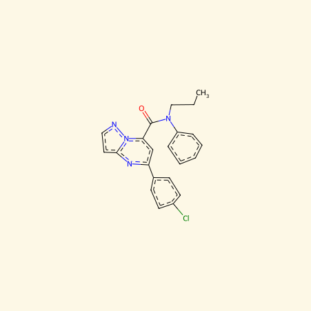 CCCN(C(=O)c1cc(-c2ccc(Cl)cc2)nc2ccnn12)c1ccccc1